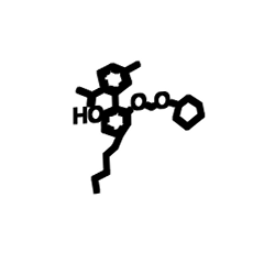 C=C(C)c1ccc(C)cc1-c1c(O)cc(CCCCC)cc1OCOC1CCCCC1